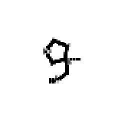 C[C@@]1(CO)CCNC1